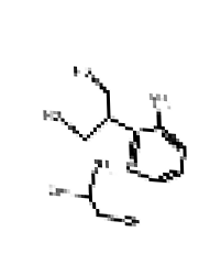 CCC(N)CO.Nc1ccccc1C(CO)CO